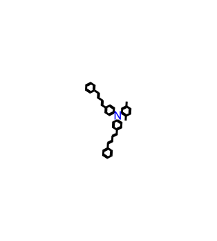 Cc1ccc(C)c(N(c2ccc(C=CC=Cc3ccccc3)cc2)c2ccc(C=CC=Cc3ccccc3)cc2)c1